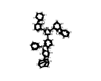 c1ccc(-n2c3cc(-c4nc(-c5cccc6c5oc5ccccc56)nc(-c5cccc6c5oc5ccccc56)n4)ccc3c3ccc(C45CC6CC(CC(C6)C4)C5)cc32)cc1